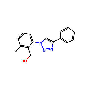 Cc1cccc(-n2cc(-c3ccccc3)nn2)c1CO